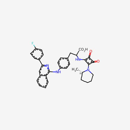 C[C@H]1CCCCN1c1c(NC(Cc2ccc(Nc3nc(-c4ccc(F)cc4)cc4ccccc34)cc2)C(=O)O)c(=O)c1=O